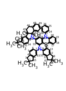 CC1(C)Cc2ccc(N3c4cc5c(cc4B4c6ccccc6N(c6ccccc6)c6cc(N7c8ccc(C(C)(C)C)cc8C8(C)CCc9ccccc9C78C)cc3c64)CC(C)(C)C5)cc2C1